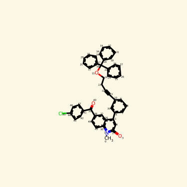 Cn1c(=O)cc(-c2cccc(C#CCCOC(c3ccccc3)(c3ccccc3)c3ccccc3)c2)c2cc(C(=O)c3ccc(Cl)cc3)ccc21